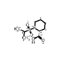 CC(C)S(=O)(=O)N1CCCC[C@@H]1C(=O)O